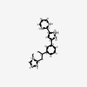 CC(Cc1nncn1C)c1cccc(-c2cc(-c3ncccn3)[nH]n2)c1